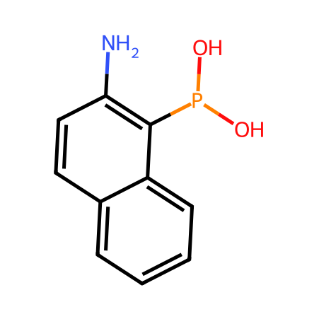 Nc1ccc2ccccc2c1P(O)O